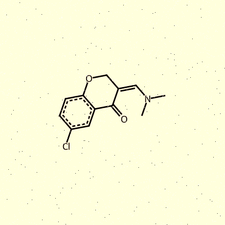 CN(C)C=C1COc2ccc(Cl)cc2C1=O